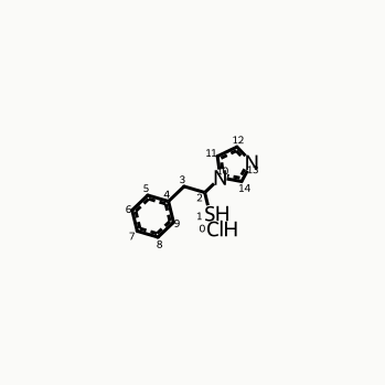 Cl.SC(Cc1ccccc1)n1ccnc1